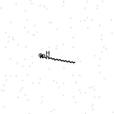 CCCCCCCCCCCCCCCCCCNCCC[N+](C)(C)[O-]